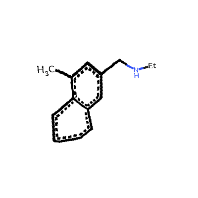 CCNCc1cc(C)c2ccccc2c1